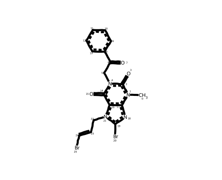 Cn1c(=O)n(CC(=O)c2ccccc2)c(=O)c2c1nc(Br)n2C/C=C/Br